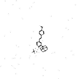 CC(C)(C)[Si](C)(C)Oc1ccc(C=Cc2ccc(C(=O)O)cc2)cc1C12CC3CC(CC(C3)C1)C2